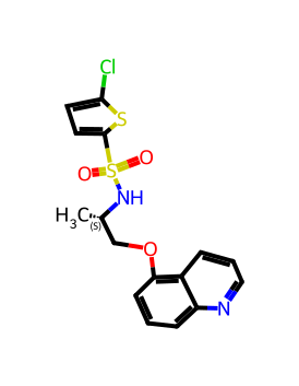 C[C@@H](COc1cccc2ncccc12)NS(=O)(=O)c1ccc(Cl)s1